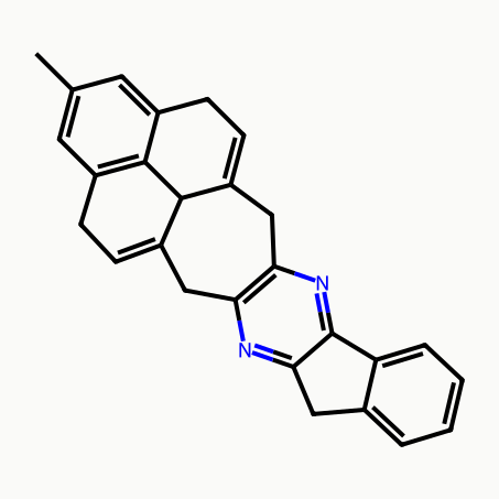 Cc1cc2c3c(c1)CC=C1Cc4nc5c(nc4CC(=CC2)C13)Cc1ccccc1-5